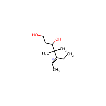 C/C=C(\CC)C(C)(C)C(O)CCO